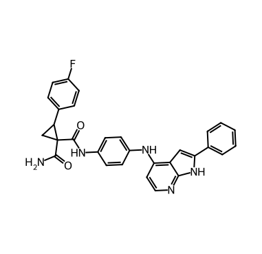 NC(=O)C1(C(=O)Nc2ccc(Nc3ccnc4[nH]c(-c5ccccc5)cc34)cc2)CC1c1ccc(F)cc1